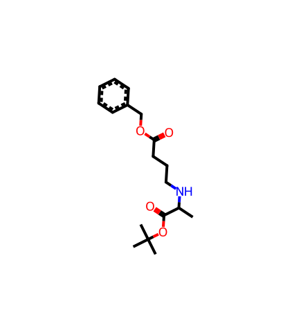 CC(NCCCC(=O)OCc1ccccc1)C(=O)OC(C)(C)C